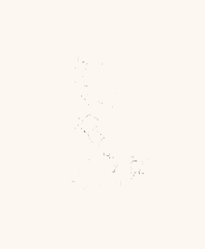 C[C@H](CC(=O)N[C@@H](c1cnn2cc([C@@H](NC(=O)c3ccnn3C)C3CCC(F)(F)CC3)nc2c1)C1CCC1)C(F)(F)F